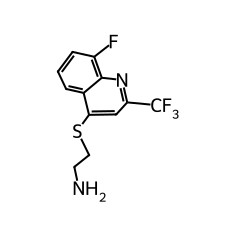 NCCSc1cc(C(F)(F)F)nc2c(F)cccc12